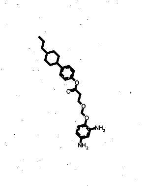 CCCC1CCC(c2ccc(OC(=O)CCOCOc3ccc(N)cc3N)cc2)CC1